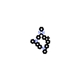 CC1(C)c2ccccc2-c2ccc(-c3nc4ccccc4nc3-c3ccc(-n4c5ccccc5c5cc6ccc(-n7c8ccccc8c8ccccc87)cc6cc54)cc3)cc21